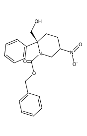 O=C(OCc1ccccc1)N1CC([N+](=O)[O-])CC[C@@]1(CO)c1ccccc1